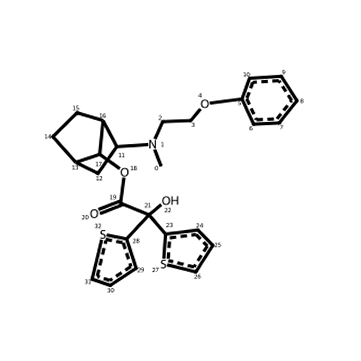 CN(CCOc1ccccc1)C1CC2CCC1C2OC(=O)C(O)(c1cccs1)c1cccs1